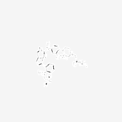 COc1cc(Nc2ncc3ccc(-c4ccccc4NCS(C)(=O)=O)n3n2)ccc1C1CCN(CC(N)=O)CC1